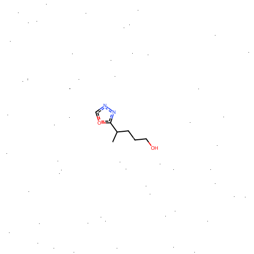 CC(CCCO)c1nnco1